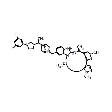 C=C1/N=C2\Nc3ccc(CN4CC5CCC4CN5C(=C)C4CCN(c5cc(F)cc(F)c5)C4)cc3N2C[C@H](C)CCCCc2c(cnn2C)-c2cc1cc(C)n2